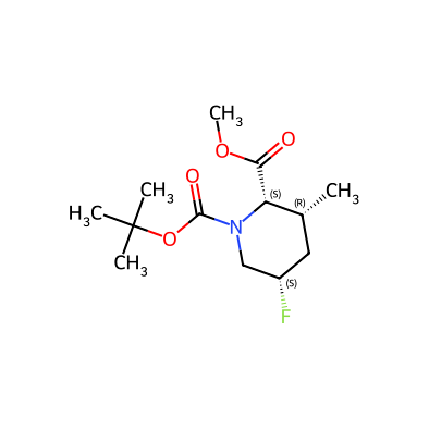 COC(=O)[C@@H]1[C@H](C)C[C@H](F)CN1C(=O)OC(C)(C)C